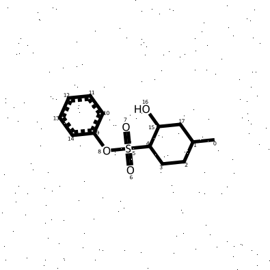 CC1CCC(S(=O)(=O)Oc2ccccc2)C(O)C1